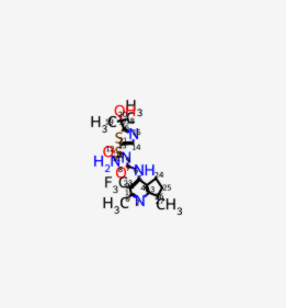 Cc1nc2c(c(NC(=O)N=S(N)(=O)c3cnc(C(C)(C)O)s3)c1C(F)(F)F)CCC2C